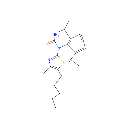 CCCCCc1sc(N(C(N)=O)c2c(C(C)C)cccc2C(C)C)nc1C